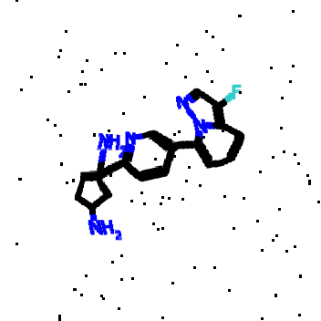 NC1CCC(N)(c2ccc(-c3cccc4c(F)cnn34)cn2)C1